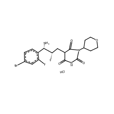 Cl.N[C@@H](c1ccc(Br)cc1F)[C@@H](F)CC1C(=O)NC(=O)N(C2CCOCC2)C1=O